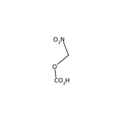 O=C(O)OC[N+](=O)[O-]